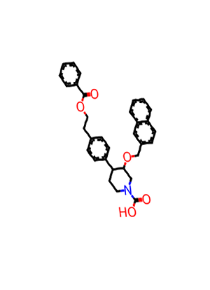 O=C(OCCc1ccc(C2CCN(C(=O)O)CC2OCc2ccc3ccccc3c2)cc1)c1ccccc1